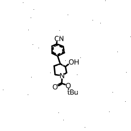 CC(C)(C)OC(=O)N1CCC(c2ccc(C#N)cc2)C(O)C1